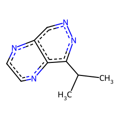 CC(C)c1nncc2nccnc12